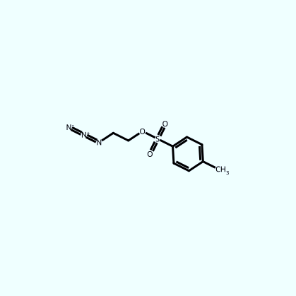 Cc1ccc(S(=O)(=O)OCCN=[N+]=[N-])cc1